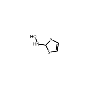 ONC1SC=CS1